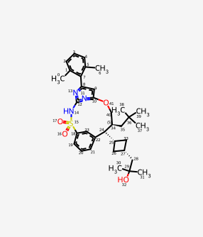 Cc1cccc(C)c1-c1cc2nc(n1)NS(=O)(=O)c1cccc(c1)C([C@H]1C[C@@H](CC(C)(C)O)C1)[C@H](CC(C)(C)C)CO2